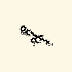 C=C[C@@H]1/C(=C/CCN2CCC(C)([C@@H]3CCCC[C@@H]3Cl)CC2)[C@@H]2CCCNC2COC1CCCC(C)(C)O